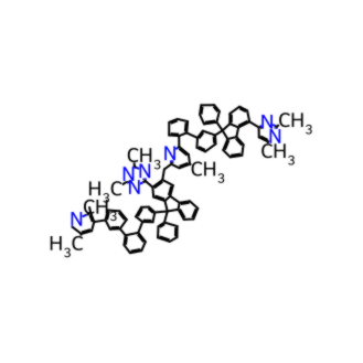 Cc1cc(Cc2cc3c(cc2-c2nc(C)nc(C)n2)C(c2ccccc2)(c2cccc(-c4ccccc4-c4cccc(-c5cc(C)cnc5C)c4)c2)c2ccccc2-3)nc(-c2ccccc2-c2cccc(C3(c4ccccc4)c4ccccc4-c4c(-c5cc(C)nc(C)n5)cccc43)c2)c1